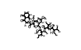 CC[C@H](C)[C@@H]([C@H](CC(=O)N1C[C@H](OC)C[C@@H]1[C@H](OC)[C@@H](C)C(=O)N[C@H](C)C(=O)c1c(F)cccc1F)OC)N(C)C(=O)[C@@H](NC(=O)[C@@H](NC)C(C)C)C(C)C